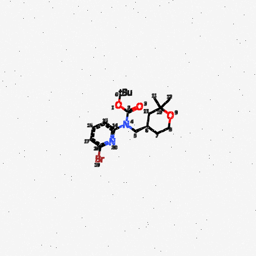 CC(C)(C)OC(=O)N(C[C@@H]1CCOC(C)(C)C1)c1cccc(Br)n1